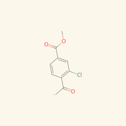 [CH2]C(=O)c1ccc(C(=O)OC)cc1Cl